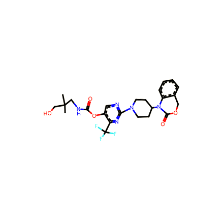 CC(C)(CO)CNC(=O)Oc1cnc(N2CCC(N3C(=O)OCc4ccccc43)CC2)nc1C(F)(F)F